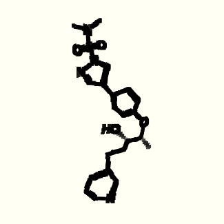 C[C@@H](Oc1ccc(-c2cnn(S(=O)(=O)N(C)C)c2)cc1)[C@@H](O)CCc1cccnc1